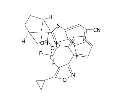 N#Cc1cc(F)c2nc(C3(O)[C@@H]4CC[C@H]3CC(OCc3c(-c5ccccc5OC(F)F)noc3C3CC3)C4)sc2c1